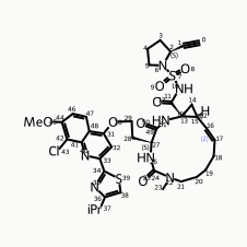 C#C[C@@H]1CCCN1S(=O)(=O)NC(=O)[C@@]12C[C@H]1/C=C\CCCCN(C)C(=O)N[C@@H](CCOc1cc(-c3nc(C(C)C)cs3)nc3c(Cl)c(OC)ccc13)C(=O)N2